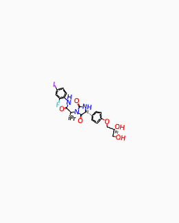 CC(C)C(C(=O)Nc1ccc(I)cc1F)N1C(=O)N[C@H](c2ccc(OC[C@H](O)CO)cc2)C1=O